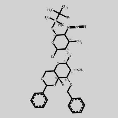 CCC1O[C@@H](O[Si](C)(C)C(C)(C)C(C)C)C(N=[N+]=[N-])[C@@H](C)[C@@H]1O[C@@H]1OC2COC(c3ccccc3)O[C@H]2[C@@H](OCc2ccccc2)[C@H]1C